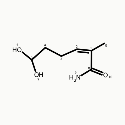 CC(=CCCC(O)O)C(N)=O